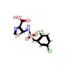 O=C(O)c1ncsc1NS(=O)(=O)Cc1cc(Cl)ccc1Cl